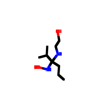 CCCC(NO)(NCCO)C(C)C